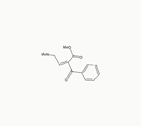 CNCC=C(C(=O)OC)C(=O)c1ccccc1